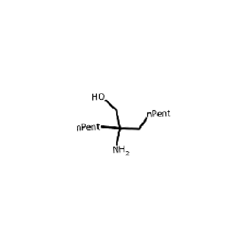 CCCCCCC(N)(CO)CCCCC